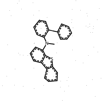 CN(c1ccccc1-c1ccccc1)c1cccc2c1sc1ccccc12